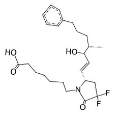 CC(CCCc1ccccc1)C(O)/C=C/[C@@H]1CC(F)(F)C(=O)N1CCCCCCC(=O)O